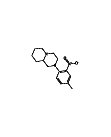 Cc1ccc(N2CCN3CCCCC3C2)c([N+](=O)[O-])c1